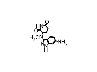 CN(c1n[nH]c2cc(N)ccc12)C1CCC(=O)NC1=O